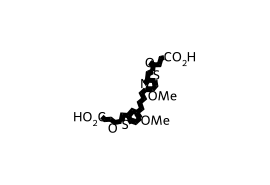 COc1cc2sc(C(=O)CCC(=O)O)cc2cc1CCCCc1nc2cc(C(=O)CCC(=O)O)sc2cc1OC